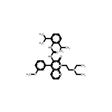 CCN(CC)CCn1c(=O)c(NC(=O)Nc2c(C(C)C)cccc2C(C)C)c(-c2cccc(OC)c2)c2cccnc21